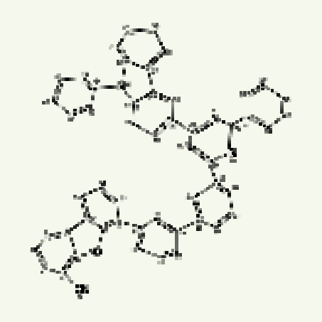 N#Cc1cccc2c1oc1c(-c3cccc(-c4cccc(-c5nc(-c6ccccc6)nc(-c6ccc7c(c6)c6ccccc6n7-c6ccccc6)n5)c4)c3)cccc12